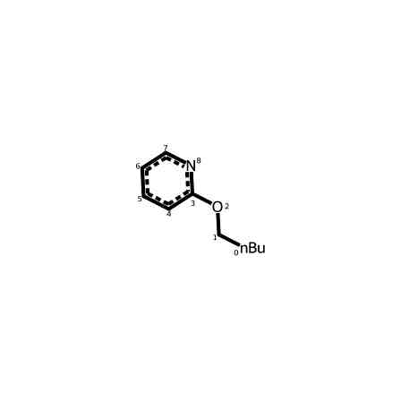 CCCCCOc1ccccn1